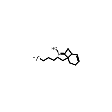 CCCCCCC12CCC=CC1CC2=NO